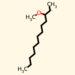 C[CH]C(CCCCCCCCCC)OC